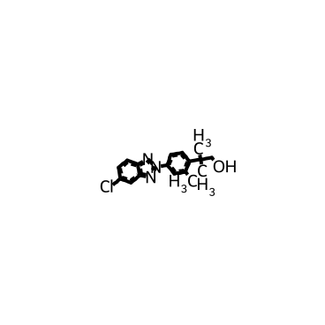 Cc1cc(-n2nc3ccc(Cl)cc3n2)ccc1C(C)(C)CO